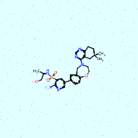 CC(CO)NS(=O)(=O)c1cc(-c2ccc3c(c2)CN(c2ncnc4c2CC(C)(C)CC4)CCO3)cnc1N